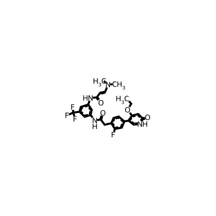 CCOc1cc(=O)[nH]cc1-c1ccc(CC(=O)Nc2cc(NC(=O)C=CN(C)C)cc(C(F)(F)F)c2)c(F)c1